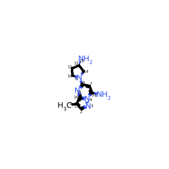 Cc1cnn2c(N)cc(N3CC[C@@H](N)C3)nc12